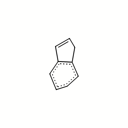 [CH]1C=Cc2ccccc21